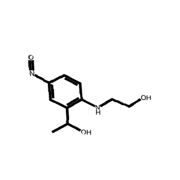 CC(O)c1cc(N=O)ccc1NCCO